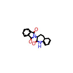 O=C1NC2=CC=CCC2CCC1N1C(=O)c2ccccc2C1=O